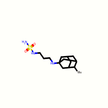 CC(C)(C)C1C2CC3CC1CC(NCCCNS(N)(=O)=O)(C3)C2